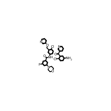 Nc1ccc(Cl)c(C(=O)c2cccnc2)c1.O=C(Nc1ccc(Cl)c(COc2cccnc2)c1)c1cc(F)cc(N2CCOCC2)c1